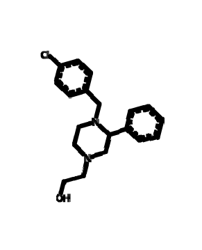 OCCN1CCN(Cc2ccc(Cl)cc2)C(c2ccccc2)C1